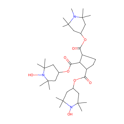 CN1C(C)(C)CC(OC(=O)C2CCC(C(=O)OC3CC(C)(C)N(O)C(C)(C)C3)C2C(=O)OC2CC(C)(C)N(O)C(C)(C)C2)CC1(C)C